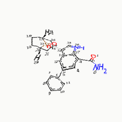 NC(=O)c1cc(-c2ccccc2)cc2c([C@H]3C[C@H]4CC[C@@H](C3)S4(=O)=O)c[nH]c12